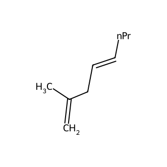 C=C(C)CC=CCCC